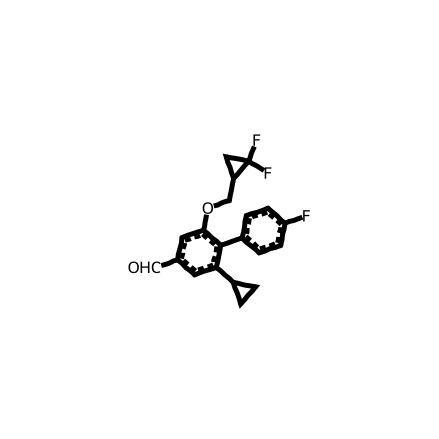 O=Cc1cc(OCC2CC2(F)F)c(-c2ccc(F)cc2)c(C2CC2)c1